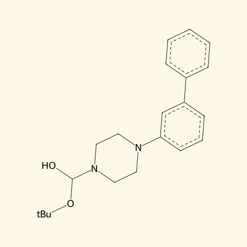 CC(C)(C)OC(O)N1CCN(c2cccc(-c3ccccc3)c2)CC1